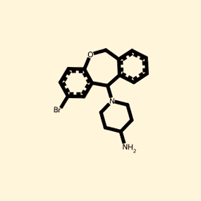 NC1CCN(C2c3ccccc3COc3ccc(Br)cc32)CC1